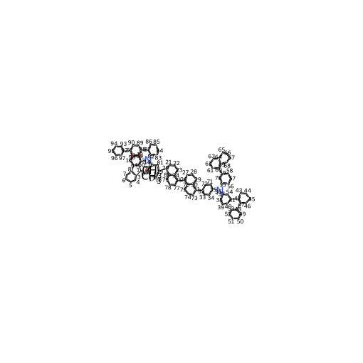 CC1(C)c2ccccc2-c2cccc(N(c3cccc(-c4cccc5c(-c6cccc7c(-c8ccc(N(c9cccc(-c%10ccccc%10-c%10ccccc%10)c9)c9cccc(-c%10cccc%11ccccc%10%11)c9)cc8)cccc67)cccc45)c3)c3ccccc3-c3ccc(-c4ccccc4)cc3)c21